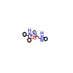 O=C(NC(c1ccccc1)c1ccccc1)[C@@H]1CCCN1C(=O)CCC1=[N+]c2ccccc2N1